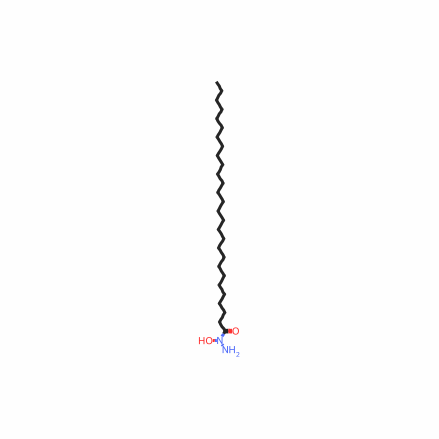 CCCCCCCCCCCCCCCCCCCCCCCCCCCC(=O)N(N)O